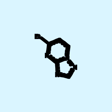 CCc1ccn2ncnc2n1